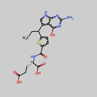 CCC(c1ccc(C(=O)N[C@@H](CCC(=O)O)C(=O)O)s1)c1c[nH]c2nc(N)nc(O)c12